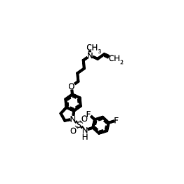 C=CCN(C)CCCCOc1ccc2c(c1)CCN2S(=O)(=O)Nc1ccc(F)cc1F